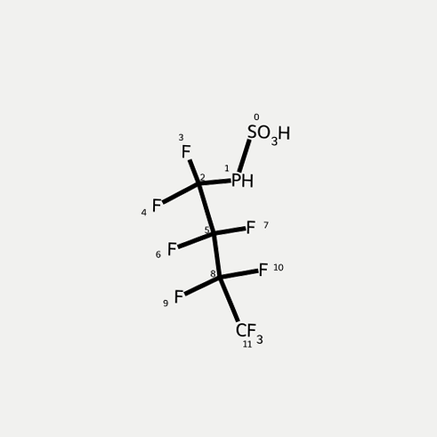 O=S(=O)(O)PC(F)(F)C(F)(F)C(F)(F)C(F)(F)F